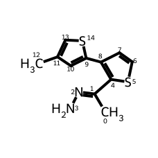 CC(=NN)c1sccc1-c1cc(C)cs1